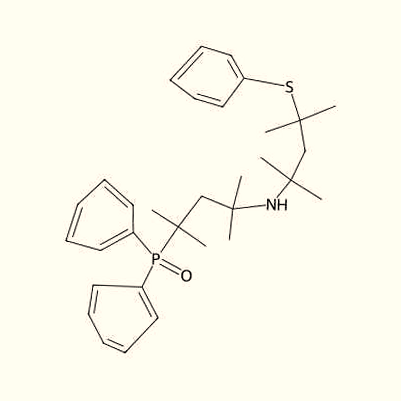 CC(C)(CC(C)(C)Sc1ccccc1)NC(C)(C)CC(C)(C)P(=O)(c1ccccc1)c1ccccc1